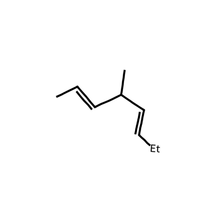 CC=CC(C)C=CCC